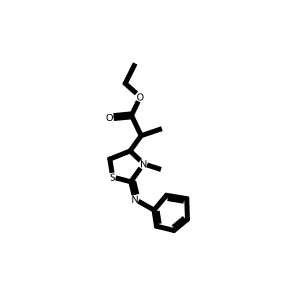 CCOC(=O)C(C)C1CSC(=Nc2ccccc2)N1C